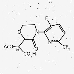 CC(=O)O[C@@H](C(=O)O)C1OCCN(c2nc(C(F)(F)F)ccc2F)C1=O